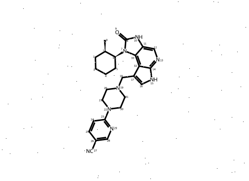 C[C@@H]1CCCC[C@@H]1n1c(=O)[nH]c2cnc3[nH]cc(CN4CCN(c5ccc(C#N)cn5)CC4)c3c21